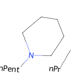 CCCC.CCCCCN1CCCCC1